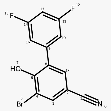 N#Cc1cc(Br)c(O)c(-c2cc(F)cc(F)c2)c1